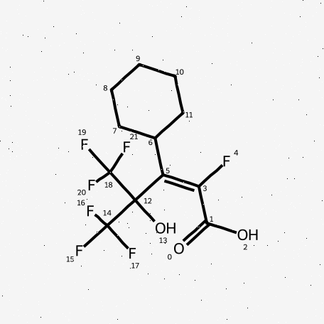 O=C(O)C(F)=C(C1CCCCC1)C(O)(C(F)(F)F)C(F)(F)F